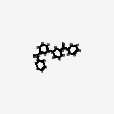 C1=CCCC(NC2=CC(C3C=CC=C(NC4=CC=CCC4)C3)=CCC2)=C1